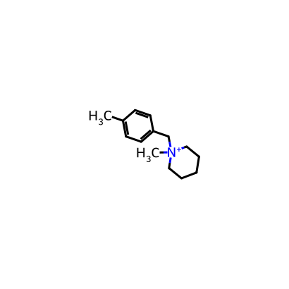 Cc1ccc(C[N+]2(C)CCCCC2)cc1